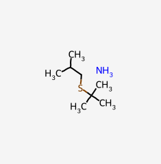 CC(C)CSC(C)(C)C.N